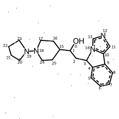 OC(CC1c2ccccc2-c2cncn21)C1CCN(N2[CH]CCC2)CC1